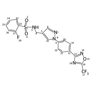 O=S(=O)(NCc1cnn(-c2ccc(-c3noc(C(F)(F)F)n3)cc2)c1)c1ccccc1F